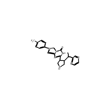 CC(c1cnccn1)C1CNCC1C1=NC2=CN(c3ccc(C(F)(F)F)cc3)CN2C(=O)N1